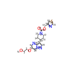 COCCOc1cnc2c(C3CCN(C(=O)OCc4cscn4)CC3)cnn2c1